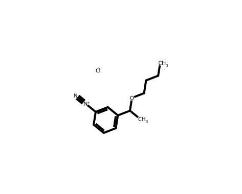 CCCCOC(C)c1cccc([N+]#N)c1.[Cl-]